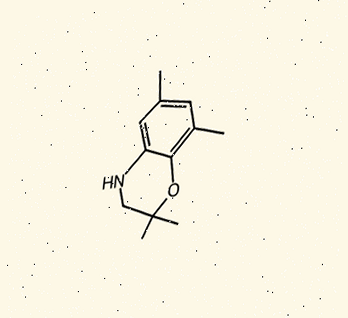 Cc1cc(C)c2c(c1)NCC(C)(C)O2